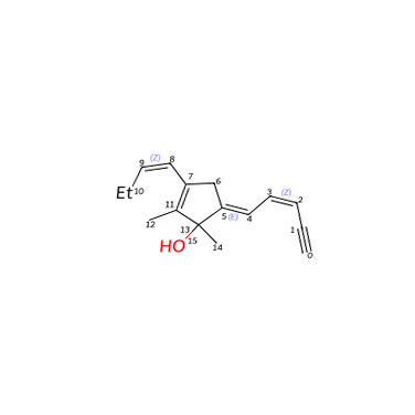 C#C/C=C\C=C1/CC(/C=C\CC)=C(C)C1(C)O